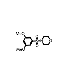 COc1cc(OC)cc(S(=O)(=O)N2CCOCC2)c1